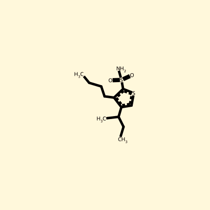 CCCCc1c(C(C)CC)csc1S(N)(=O)=O